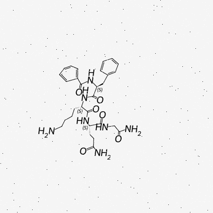 NCCCC[C@H](NC(=O)[C@H](Cc1ccccc1)NC(=O)c1ccccc1)C(=O)N[C@@H](CCC(N)=O)C(=O)NCC(N)=O